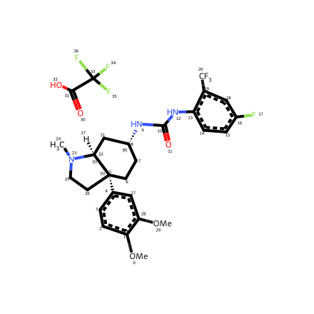 COc1ccc([C@@]23CC[C@@H](NC(=O)Nc4ccc(F)cc4C(F)(F)F)C[C@@H]2N(C)CC3)cc1OC.O=C(O)C(F)(F)F